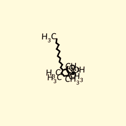 CCCCCCCCCCCC1C(C)=C(S(=O)(=O)O)C(C)(C)CC1(C)C